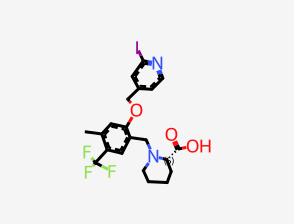 Cc1cc(OCc2ccnc(I)c2)c(CN2CCCC[C@H]2C(=O)O)cc1C(F)(F)F